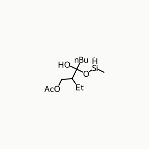 CCCCC(O)(O[SiH](C)C)C(CC)COC(C)=O